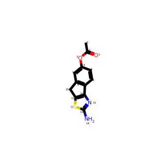 CC(=O)Oc1ccc2c(c1)Cc1sc(N)nc1-2